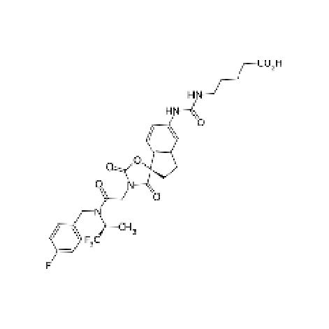 C[C@H](N(Cc1ccc(F)cc1)C(=O)CN1C(=O)O[C@@]2(CCc3cc(NC(=O)NCCCCC(=O)O)ccc32)C1=O)C(F)(F)F